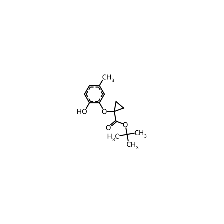 Cc1ccc(O)c(OC2(C(=O)OC(C)(C)C)CC2)c1